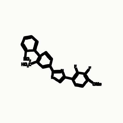 COc1ccc(-c2csc(-c3ccc(-c4ccccc4[N+](=O)[O-])c(C(=O)O)c3)n2)c(F)c1F